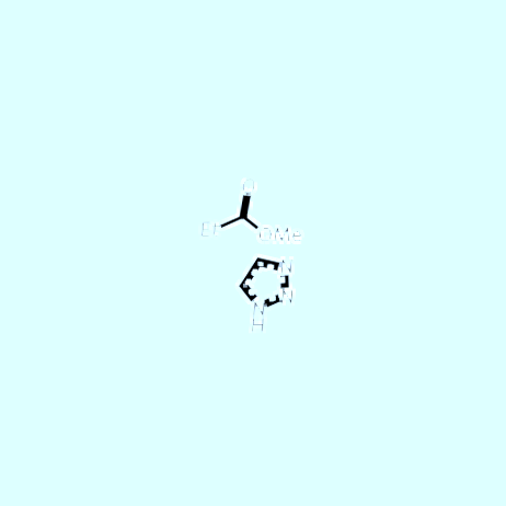 CCC(=O)OC.c1c[nH]nn1